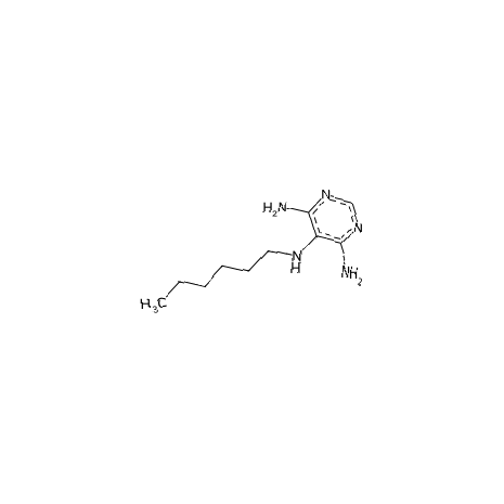 CCCCCCNc1c(N)ncnc1N